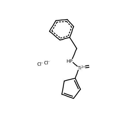 [CH2]=[Ti+2]([PH]Cc1ccccc1)[C]1=CC=CC1.[Cl-].[Cl-]